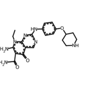 CCn1c(N)c(C(N)=O)c(=O)c2cnc(Nc3ccc(OC4CCNCC4)cc3)nc21